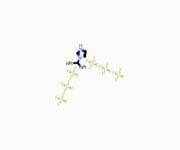 CCCC(CCC)[n+]1cc[nH]c1.F[B-](F)(F)F.F[B-](F)(F)F.F[B-](F)(F)F.F[B-](F)(F)F.F[B-](F)(F)F.F[B-](F)(F)F